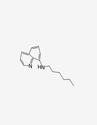 CCCCCCNc1cccc2cccnc12